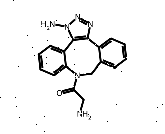 NCC(=O)N1Cc2ccccc2-c2nnn(N)c2-c2ccccc21